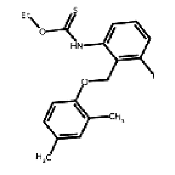 CCOC(=S)Nc1cccc(I)c1COc1ccc(C)cc1C